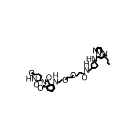 CCCc1cc(N[C@@H]2CCC(CNC(=O)CCOCCOCCNc3cccc4c3C(=O)N(C3CCC(=O)NC3=O)C4=O)C2)n2nccc2n1